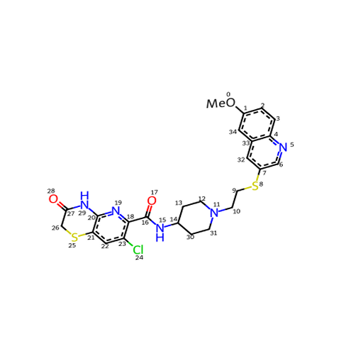 COc1ccc2ncc(SCCN3CCC(NC(=O)c4nc5c(cc4Cl)SCC(=O)N5)CC3)cc2c1